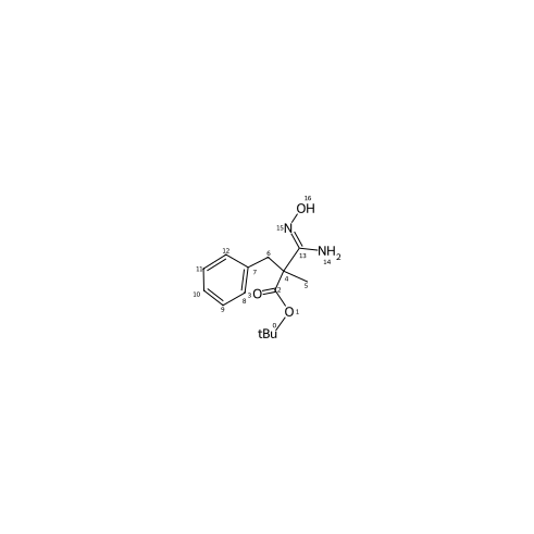 CC(C)(C)OC(=O)C(C)(Cc1ccccc1)C(N)=NO